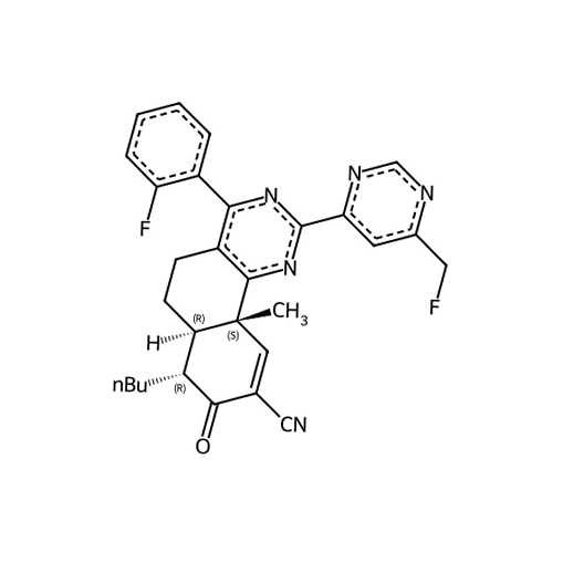 CCCC[C@H]1C(=O)C(C#N)=C[C@@]2(C)c3nc(-c4cc(CF)ncn4)nc(-c4ccccc4F)c3CC[C@H]12